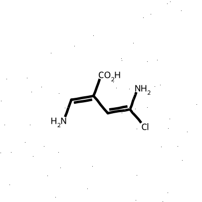 N/C=C(\C=C(/N)Cl)C(=O)O